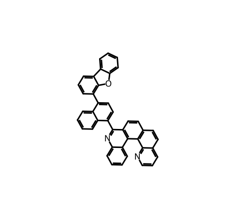 c1cnc2c(c1)ccc1ccc3c(-c4ccc(-c5cccc6c5oc5ccccc56)c5ccccc45)nc4ccccc4c3c12